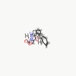 CC(C)(C)C(O[SiH](c1ccccc1)c1ccccc1)[C@H]1COC(=O)N1